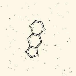 c1nc2cc3occnc3nc2n1